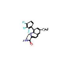 N#Cc1cc(-c2ccc(F)c(F)c2F)c2c(c1)cc1n2CCNC1=O